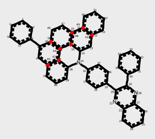 c1ccc(-c2cccc(-c3ccccc3N(c3ccc(-c4nc5ccccc5nc4-c4ccccc4)cc3)c3ccccc3-c3cccc(-c4ccccc4)c3)c2)cc1